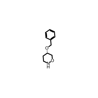 c1ccc(CO[C@H]2CCNOC2)cc1